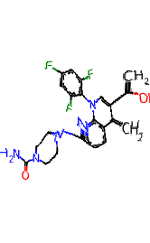 C=C(O)C1=CN(c2c(F)cc(F)cc2F)c2nc(N3CCN(C(N)=O)CC3)ccc2C1=C